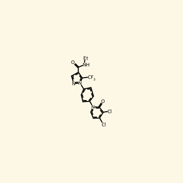 CCNC(=O)c1cnn(-c2ccc(-n3ccc(Cl)c(Cl)c3=O)cc2)c1C(F)(F)F